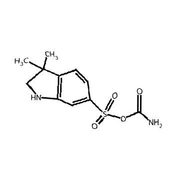 CC1(C)CNc2cc(S(=O)(=O)OC(N)=O)ccc21